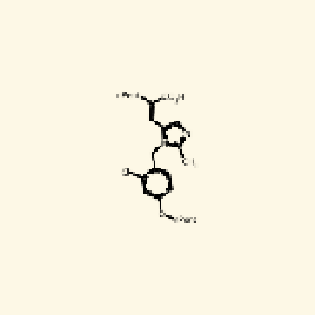 CCCCCOc1ccc(Cn2c(C=C(CCCCC)C(=O)O)cnc2C)c(Cl)c1